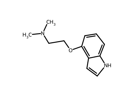 CN(C)CCOc1cccc2[nH]ccc12